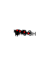 O=C(O)CCNCC(=O)N1CCc2cc(OCc3ccc(C4CC4)c(OC(F)(F)F)c3)ccc21